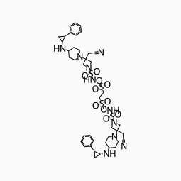 N#CCC1(N2CCC(N[C@@H]3C[C@H]3c3ccccc3)CC2)CN(S(=O)(=O)NOS(=O)(=O)CCS(=O)(=O)ONS(=O)(=O)N2CC(CC#N)(N3CCC(N[C@@H]4C[C@H]4c4ccccc4)CC3)C2)C1